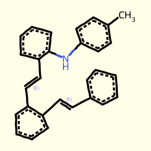 Cc1ccc(Nc2ccccc2/C=C/c2ccccc2/C=C/c2ccccc2)cc1